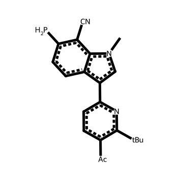 CC(=O)c1ccc(-c2cn(C)c3c(C#N)c(P)ccc23)nc1C(C)(C)C